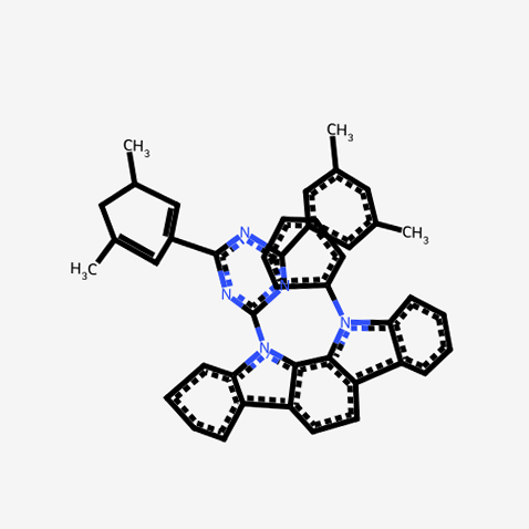 CC1=CC(c2nc(-c3cc(C)cc(C)c3)nc(-n3c4ccccc4c4ccc5c6ccccc6n(-c6ccccc6)c5c43)n2)=CC(C)C1